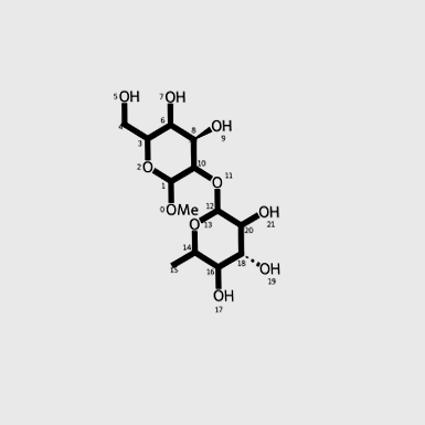 COC1OC(CO)C(O)[C@@H](O)C1OC1OC(C)C(O)[C@@H](O)C1O